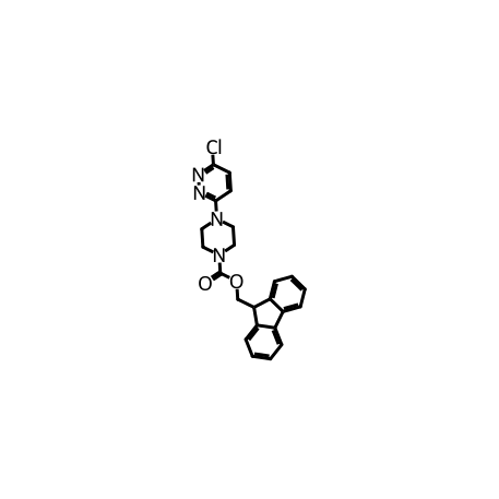 O=C(OCC1c2ccccc2-c2ccccc21)N1CCN(c2ccc(Cl)nn2)CC1